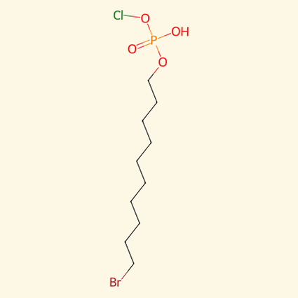 O=P(O)(OCl)OCCCCCCCCCCBr